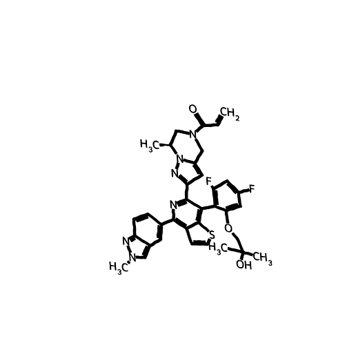 C=CC(=O)N1Cc2cc(-c3nc(-c4ccc5nn(C)cc5c4)c4ccsc4c3-c3c(F)cc(F)cc3OCC(C)(C)O)nn2[C@@H](C)C1